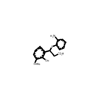 COc1cccc(C(CC(=O)O)Sc2ccccc2N)c1O